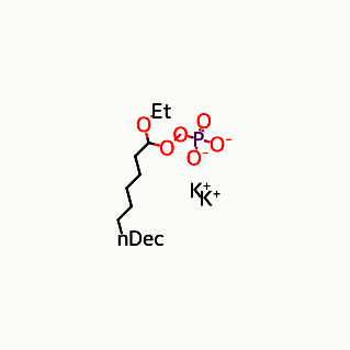 CCCCCCCCCCCCCCCC(OCC)OOP(=O)([O-])[O-].[K+].[K+]